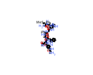 CSCC[C@H](NC(=O)[C@H](CC(C)C)NC(=O)[C@H](Cc1cnc[nH]1)NC(=O)CNC(=O)[C@@H](NC(=O)[C@H](C)NC(=O)[C@H](Cc1c[nH]c2ccccc12)NC(=O)[C@H](CCC(N)=O)NC(=O)c1ccc(NC(=O)CN)cc1)C(C)C)C(N)=O